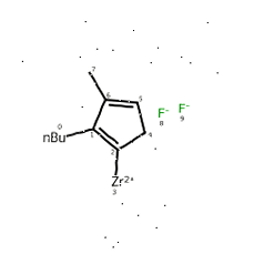 CCCCC1=[C]([Zr+2])CC=C1C.[F-].[F-]